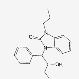 CCCn1c(=O)n(C(c2ccccc2)[C@H](O)CO)c2ccccc21